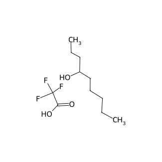 CCCCCC(O)CCC.O=C(O)C(F)(F)F